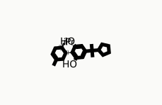 CC1=CC[C@@H](C(C)C)[C@H](c2c(O)cc(C(C)(C)C3CCCC3)cc2O)C1